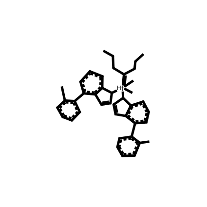 CCC[C](CCC)=[Hf]([CH3])([CH3])([CH]1C=Cc2c(-c3ccccc3C)cccc21)[CH]1C=Cc2c(-c3ccccc3C)cccc21